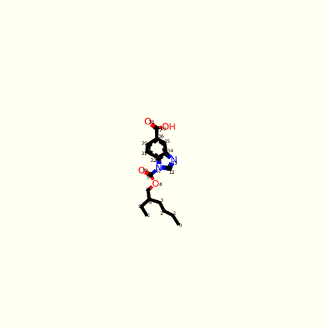 CCCCC(CC)COC(=O)n1cnc2cc(C(=O)O)ccc21